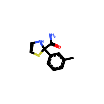 Cc1cccc(C2(C(N)=O)NC=CS2)c1